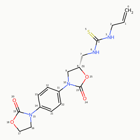 C=CCNC(=S)NC[C@H]1CN(c2ccc(N3CCOC3=O)cc2)C(=O)O1